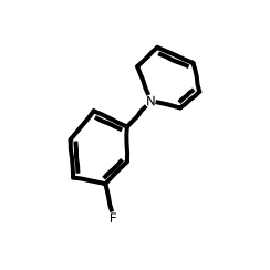 Fc1cccc(N2C=CC=CC2)c1